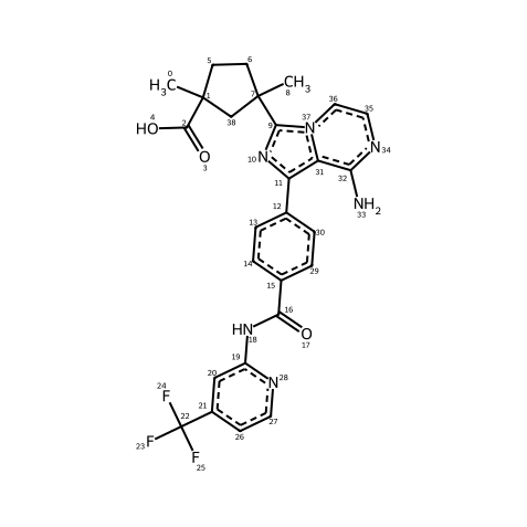 CC1(C(=O)O)CCC(C)(c2nc(-c3ccc(C(=O)Nc4cc(C(F)(F)F)ccn4)cc3)c3c(N)nccn23)C1